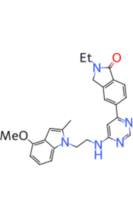 CCN1Cc2cc(-c3cc(NCCn4c(C)cc5c(OC)cccc54)ncn3)ccc2C1=O